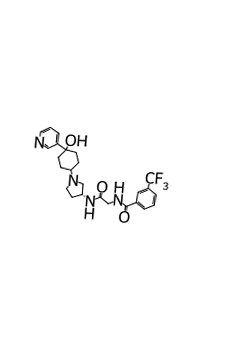 O=C(CNC(=O)c1cccc(C(F)(F)F)c1)N[C@@H]1CCN(C2CCC(O)(c3cccnc3)CC2)C1